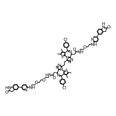 Cc1sc2c(c1C)C(c1ccc(Cl)cc1)=N[C@@H](CC(=O)NCCOCCNc1ccc(-c3ccc4c(c3)CC(=O)N4)cn1)c1nnc(CCc3nnc4n3-c3sc(C)c(C)c3C(c3ccc(Cl)cc3)=N[C@H]4CC(=O)NCCOCCOCCNc3ccc(-c4ccc5c(c4)CC(=O)N5)cn3)n1-2